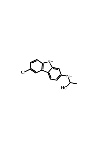 CC(O)Nc1ccc2c(c1)[nH]c1ccc(Cl)cc12